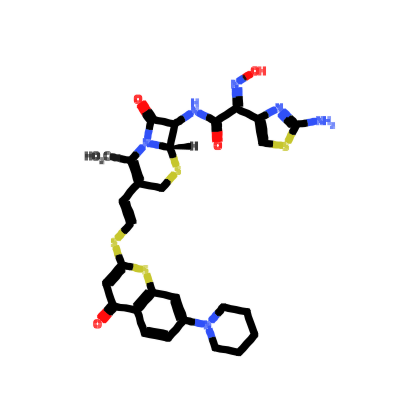 Nc1nc(C(=NO)C(=O)NC2C(=O)N3C(C(=O)O)=C(C=CSc4cc(=O)c5ccc(N6CCCCC6)cc5s4)CS[C@@H]23)cs1